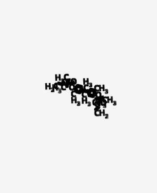 C=CCOC(=O)C(CC)(CC)Oc1ccc(C(C)(C)c2ccc(OC(=O)C(CC)(CC)OCC=C)c(C)c2)cc1C